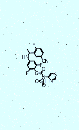 CC(Nc1cc(F)c(OC(=O)N(c2cscn2)[SH](=O)=O)c(F)c1)c1cc(C#N)ccc1F